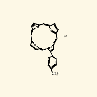 O=C(O)c1ccc(C2=CC3=CC4=NC(=CC5=NC(=CC6=NC(=CC2=N3)C=C6)C=C5)C=C4)cc1.[Zn]